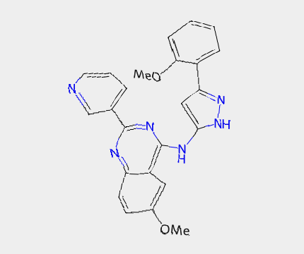 COc1ccc2nc(-c3cccnc3)nc(Nc3cc(-c4ccccc4OC)n[nH]3)c2c1